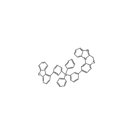 c1ccc([Si](c2ccccc2)(c2cccc(-c3ccc4c(c3)-n3c(nc5ccccc53)CS4)c2)c2cccc(-c3cccc4oc5ccccc5c34)c2)cc1